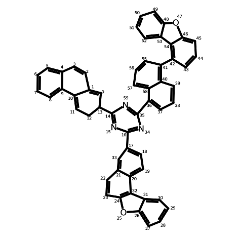 C1=c2ccc3ccccc3c2=CCC1c1nc(-c2ccc3c(ccc4oc5ccccc5c43)c2)nc(-c2cccc3c(-c4cccc5oc6ccccc6c45)cccc23)n1